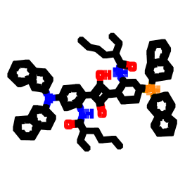 CCCCC(CC)C(=O)NC1=CC(=[PH](c2ccc3ccccc3c2)c2ccc3ccccc3c2)C=C/C1=C1\C(=O)C(c2ccc(N(c3ccc4ccccc4c3)c3ccc4ccccc4c3)cc2NC(=O)C(CC)CCCC)=C1O